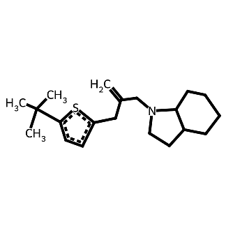 C=C(Cc1ccc(C(C)(C)C)s1)CN1CCC2CCCCC21